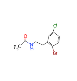 O=C(NCCc1cc(Cl)ccc1Br)C(F)(F)F